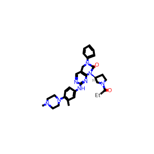 CCC(=O)N1CC[C@H](N2C(=O)N(c3ccccc3)Cc3cnc(Nc4ccc(N5CCN(C)CC5)c(C)c4)nc32)C1